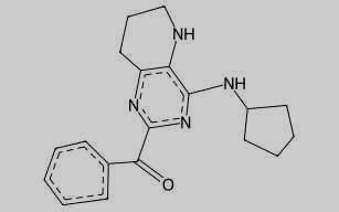 O=C(c1ccccc1)c1nc2c(c(NC3CCCC3)n1)NCCC2